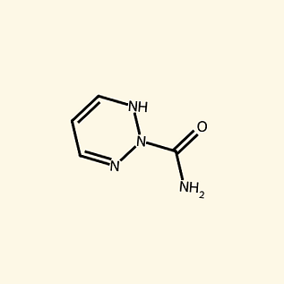 NC(=O)N1N=CC=CN1